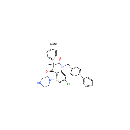 COc1ccc(C2(C)C(=O)c3c(N4CCNCC4)cc(Cl)cc3N(Cc3ccc(-c4ccccc4)cc3)C2=O)cc1